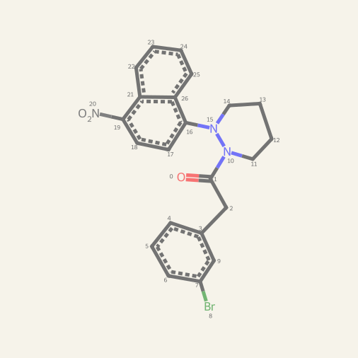 O=C(Cc1cccc(Br)c1)N1CCCCN1c1ccc([N+](=O)[O-])c2ccccc12